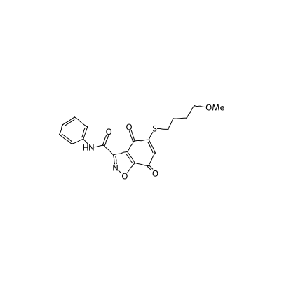 COCCCCSC1=CC(=O)c2onc(C(=O)Nc3ccccc3)c2C1=O